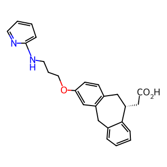 O=C(O)C[C@H]1Cc2ccc(OCCCNc3ccccn3)cc2Cc2ccccc21